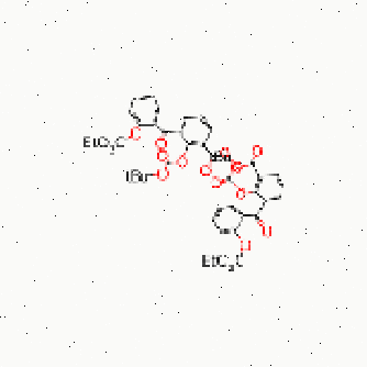 CCOC(=O)Oc1ccccc1C(=O)c1cccc(C(=O)OOC(=O)c2cccc(C(=O)c3ccccc3OC(=O)OCC)c2OC(=O)OC(C)(C)C)c1OC(=O)OC(C)(C)C